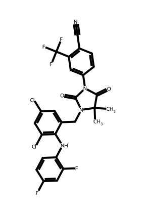 CC1(C)C(=O)N(c2ccc(C#N)c(C(F)(F)F)c2)C(=O)N1Cc1cc(Cl)cc(Cl)c1Nc1ccc(F)cc1F